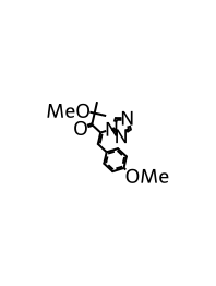 COc1ccc(C=C(C(=O)C(C)(C)OC)n2cncn2)cc1